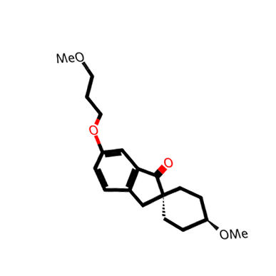 COCCCOc1ccc2c(c1)C(=O)[C@]1(CC[C@H](OC)CC1)C2